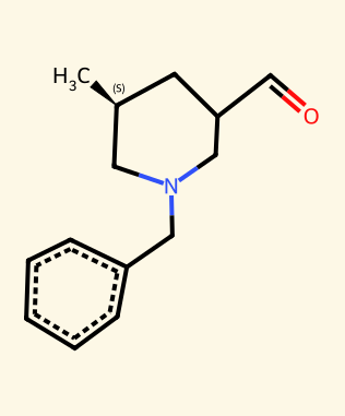 C[C@H]1CC(C=O)CN(Cc2ccccc2)C1